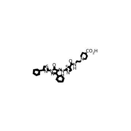 O=C(NCCN1CCC(C(=O)O)CC1)c1cnc(N/N=C2/C(=O)N(c3nc(-c4ccccc4)cs3)N=C2c2ccccc2)s1